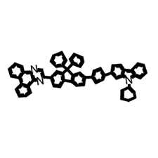 C1=CC(n2c3ccccc3c3ccc(-c4ccc(-c5ccc6c(c5)C(c5ccccc5)(c5ccccc5)c5cc(-c7cnc8c9ccccc9c9ccccc9c8n7)ccc5-6)cc4)cc32)=CCC1